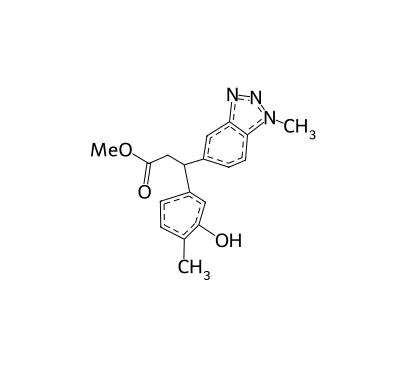 COC(=O)CC(c1ccc(C)c(O)c1)c1ccc2c(c1)nnn2C